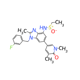 CC[S+]([O-])Nc1cc(-c2cc(C)c(=O)n(C)c2)cc2c1nc(C)n2Cc1cccc(F)c1